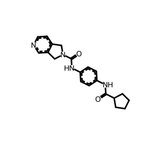 O=C(Nc1ccc(NC(=O)N2Cc3ccncc3C2)cc1)C1CCCC1